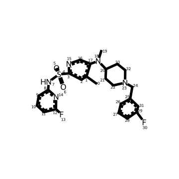 Cc1cc(S(=O)(=O)Nc2cccc(F)n2)ncc1N(C)C1CCN(Cc2cccc(F)c2)CC1